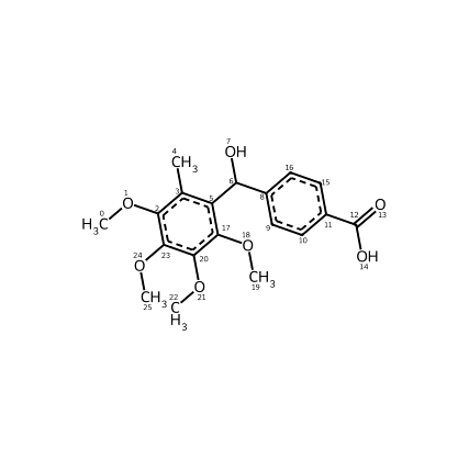 COc1c(C)c(C(O)c2ccc(C(=O)O)cc2)c(OC)c(OC)c1OC